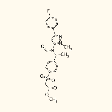 COC(=O)CS(=O)(=O)c1ccc([C@@H](C)N(C=O)c2cc(-c3ccc(F)cc3)nn2C)cc1